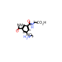 CN.CNC(=O)c1cc(C(=O)NCC(=O)O)cc([N+](=O)[O-])c1